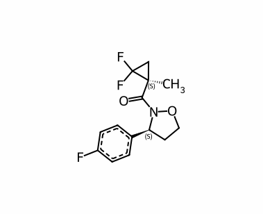 C[C@@]1(C(=O)N2OCC[C@H]2c2ccc(F)cc2)CC1(F)F